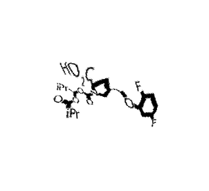 CC(C)C(=O)O[C@@H](OC(=O)N1C[C@@H](COc2cc(F)ccc2F)C[C@H]1C(=O)O)C(C)C